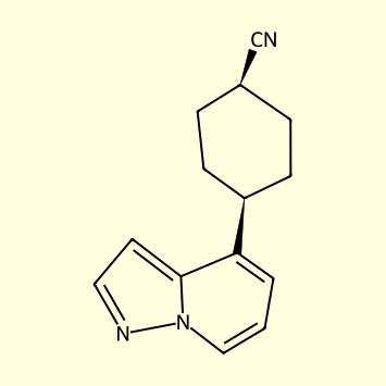 N#C[C@H]1CC[C@@H](c2cccn3nccc23)CC1